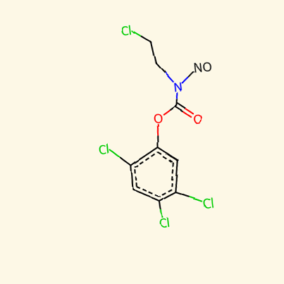 O=NN(CCCl)C(=O)Oc1cc(Cl)c(Cl)cc1Cl